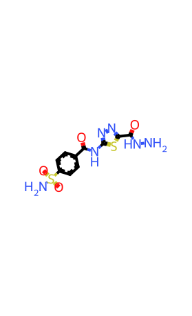 NNC(=O)c1nnc(NC(=O)c2ccc(S(N)(=O)=O)cc2)s1